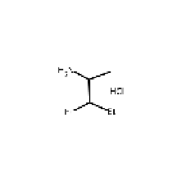 CCC(CC)C(C)N.Cl